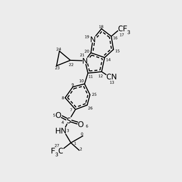 CC(C)(NS(=O)(=O)c1ccc(-c2c(C#N)c3cc(C(F)(F)F)cnc3n2C2CC2)cc1)C(F)(F)F